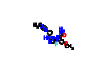 COc1ccc2c(c1)c(C(N)=O)nn2-c1nc(Nc2cccc(N3CCN(C)CC3)c2)ncc1F